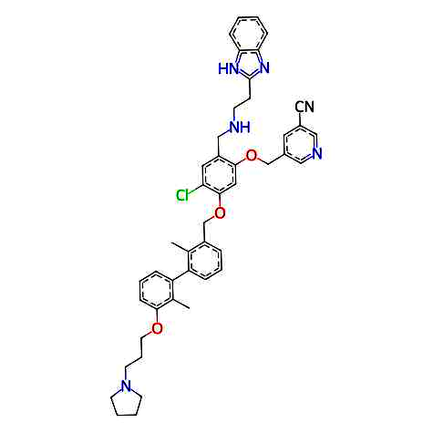 Cc1c(COc2cc(OCc3cncc(C#N)c3)c(CNCCc3nc4ccccc4[nH]3)cc2Cl)cccc1-c1cccc(OCCCN2CCCC2)c1C